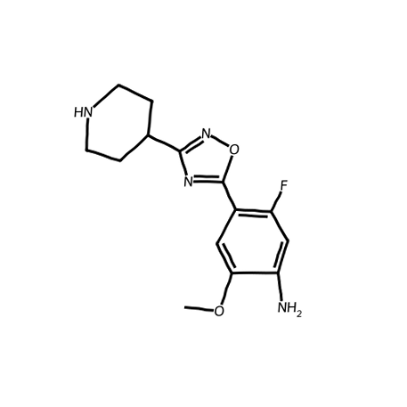 COc1cc(-c2nc(C3CCNCC3)no2)c(F)cc1N